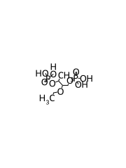 CCOC(COP(=O)(O)O)C(C)OP(=O)(O)O